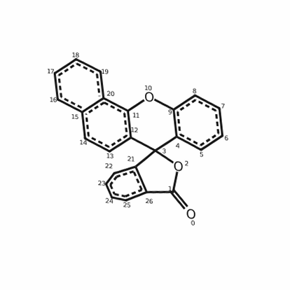 O=C1OC2(c3ccccc3Oc3c2ccc2ccccc32)c2ccccc21